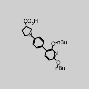 CCCCOc1ccc(-c2ccc(N3CC[C@@H](C(=O)O)C3)cc2)c(OCCCC)n1